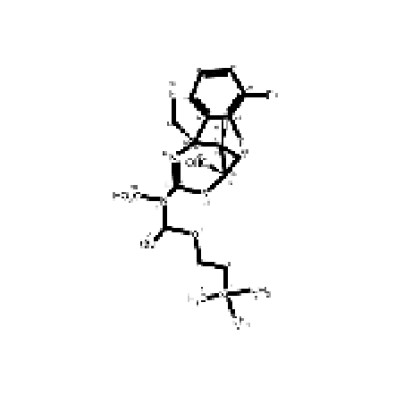 CC(C)(C)C(OCC[Si](C)(C)C)N(C(=O)O)C1=N[C@](CF)(c2cccc(F)c2F)[C@@H]2C[C@]2(C=O)S1